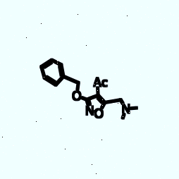 CC(=O)c1c(OCc2ccccc2)noc1CN(C)C